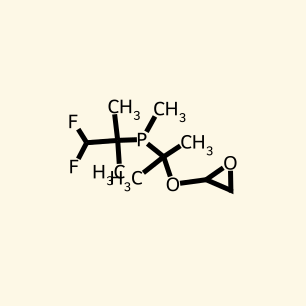 CP(C(C)(C)OC1CO1)C(C)(C)C(F)F